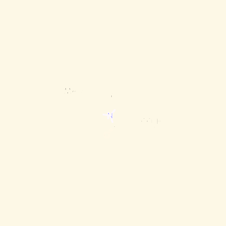 COCCCn1c(C(F)(F)F)cc(C(=O)O)cc1=O